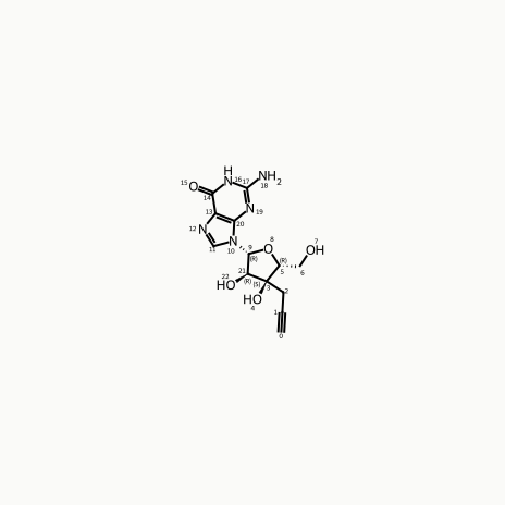 C#CC[C@@]1(O)[C@@H](CO)O[C@@H](n2cnc3c(=O)[nH]c(N)nc32)[C@@H]1O